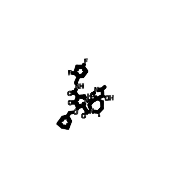 CC1=NO[C@]2(CC[C@H](C)N3C[C@H]2n2cc(C(=O)NCc4ccc(F)cc4F)c(=O)c(OCc4ccccc4)c2C3=O)[C@@H]1O